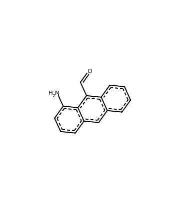 Nc1cccc2cc3ccccc3c(C=O)c12